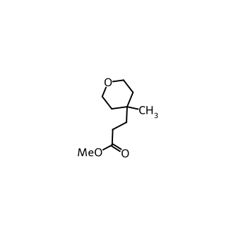 COC(=O)CCC1(C)CCOCC1